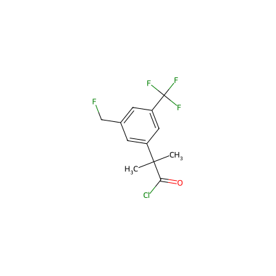 CC(C)(C(=O)Cl)c1cc(CF)cc(C(F)(F)F)c1